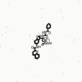 CNS(=O)(=O)C[C@](C)(NC(=S)NC(=O)c1ccccc1)c1csc2ccc(NC(=O)c3ccc4ccccc4n3)cc12